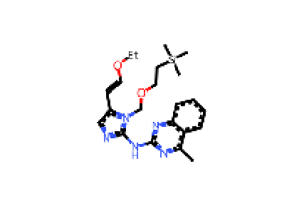 CCOC=Cc1cnc(Nc2nc(C)c3ccccc3n2)n1COCC[Si](C)(C)C